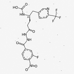 O=C(O)N[C@H](CCC(=O)NNC(=O)c1ccc([N+](=O)[O-])c(F)c1)Cc1ccc(C(F)(F)F)nc1